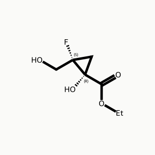 CCOC(=O)[C@]1(O)C[C@]1(F)CO